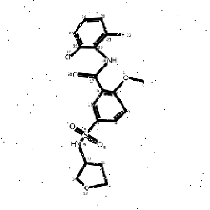 COc1ccc(S(=O)(=O)NC2CCOC2)cc1C(=O)Nc1c(F)cccc1Cl